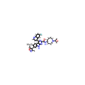 COc1cc2c(cc1-c1c(C)noc1C)[nH]c1nc(C(=O)NC3CCCCN(C4COC4)CCC3)nc(-c3ccnc4ccc(F)cc34)c12